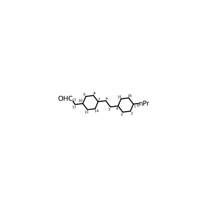 CCCC1CCC(CCC2CCC(CC=O)CC2)CC1